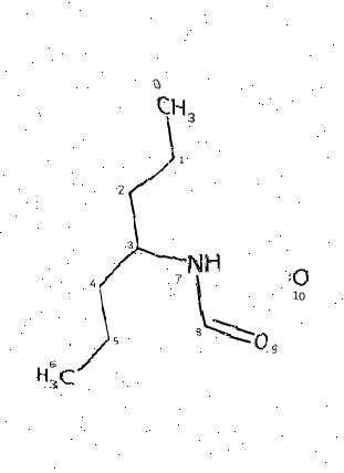 CCCC(CCC)NC=O.[O]